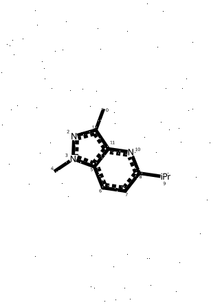 Cc1nn(C)c2ccc(C(C)C)nc12